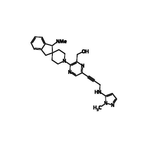 CNC1c2ccccc2CC12CCN(c1ncc(C#CCNc3ccnn3C)nc1CO)CC2